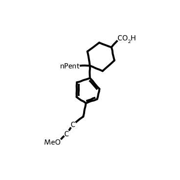 CCCCCC1(c2ccc(CCCOC)cc2)CCC(C(=O)O)CC1